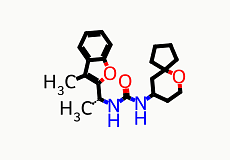 Cc1c([C@@H](C)NC(=O)NC2CCOC3(CCCC3)C2)oc2ccccc12